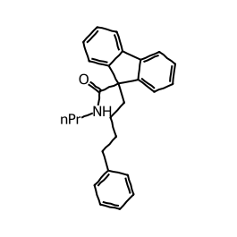 CCCNC(=O)C1(CCCCc2ccccc2)c2ccccc2-c2ccccc21